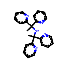 CC(NC(C)(c1ccccn1)c1ccccn1)(c1ccccn1)c1ccccn1